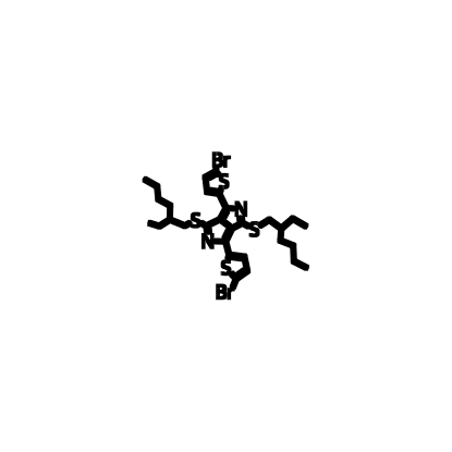 CCCCC(CC)CSC1=NC(c2ccc(Br)s2)=C2C(SCC(CC)CCCC)=NC(c3ccc(Br)s3)=C12